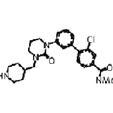 CNC(=O)c1ccc(-c2cccc(N3CCCN(CC4CCNCC4)C3=O)c2)c(Cl)c1